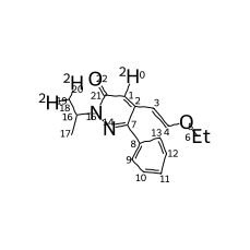 [2H]c1c(C=COCC)c(-c2ccccc2)nn(C(C)C([2H])[2H])c1=O